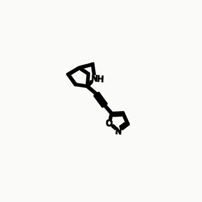 C(#CC12CCC(CN1)C2)c1ccno1